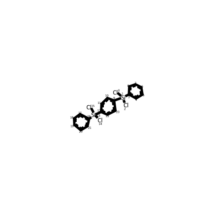 Cl[Si](Cl)(c1ccccc1)c1ccc([Si](Cl)(Cl)c2ccccc2)cc1